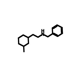 CC1CCCC(CCNCc2ccccc2)C1